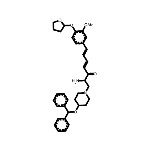 COc1cc(C=CC=CC(=O)C(N)CN2CCC(OC(c3ccccc3)c3ccccc3)CC2)ccc1OC1CCCO1